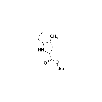 CC(C)CC1NC(C(=O)OC(C)(C)C)CC1C